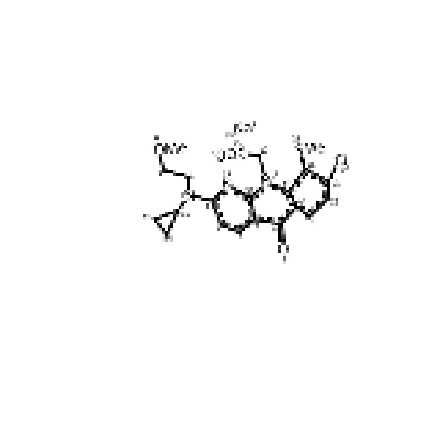 COCCN(c1ccc2c(=O)c3ccc(Cl)c(SC)c3n(CC(=O)[O-])c2n1)C1CC1.[Na+]